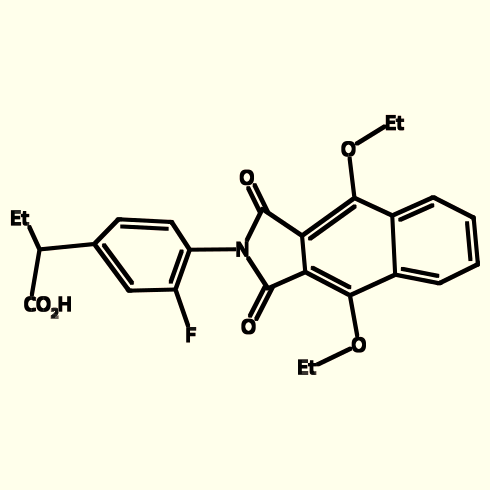 CCOc1c2c(c(OCC)c3ccccc13)C(=O)N(c1ccc(C(CC)C(=O)O)cc1F)C2=O